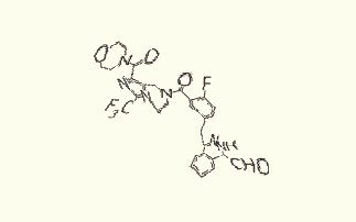 O=CC1NN=C(Cc2ccc(F)c(C(=O)N3CCn4c(C(F)(F)F)nc(C(=O)N5CCOCC5)c4C3)c2)c2ccccc21